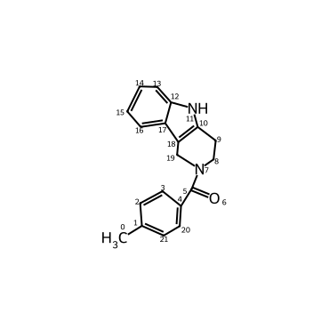 Cc1ccc(C(=O)N2CCc3[nH]c4ccccc4c3C2)cc1